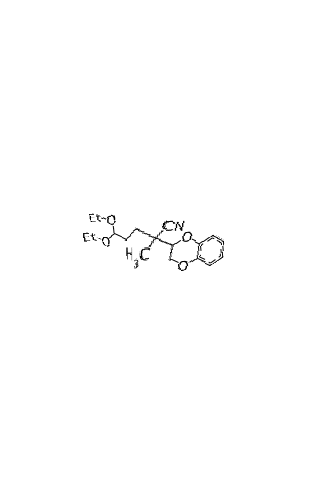 CCOC(CCC(C)(C#N)C1COc2ccccc2O1)OCC